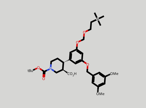 COc1cc(COc2cc(OCOCC[Si](C)(C)C)cc([C@H]3CCN(C(=O)OC(C)(C)C)C[C@@H]3C(=O)O)c2)cc(OC)c1